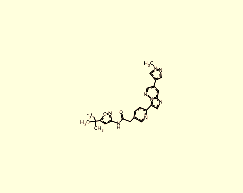 Cn1cc(-c2cnn3c(-c4ccc(CC(=O)Nc5cc(C(C)(C)C(F)(F)F)on5)cn4)cnc3c2)cn1